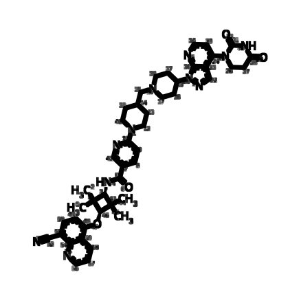 CC1(C)[C@H](NC(=O)c2ccc(N3CCC(CN4CCC(n5ncc6c(N7CCC(=O)NC7=O)ccnc65)CC4)CC3)nc2)C(C)(C)[C@H]1Oc1ccc(C#N)c2ncccc12